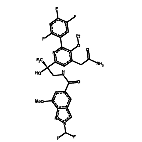 CCOc1c(CC(N)=O)cc([C@@](O)(CNC(=O)c2cc(OC)c3nn(C(F)F)cc3c2)C(F)(F)F)nc1-c1cc(F)c(F)cc1F